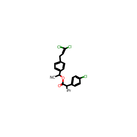 CC(C)C(C(=O)OC(C#N)c1ccc(CC=C(Cl)Cl)cc1)c1ccc(Cl)cc1